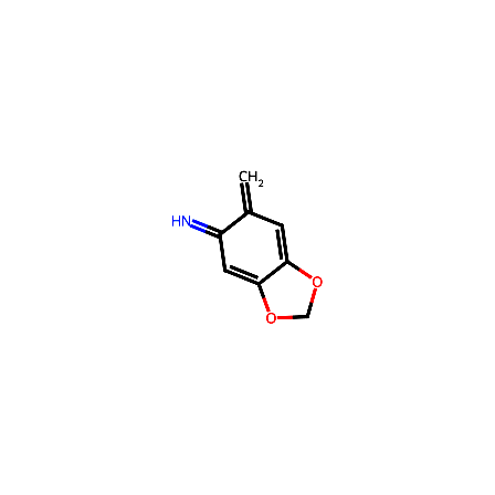 C=C1C=C2OCOC2=CC1=N